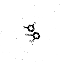 Clc1cccc(Cl)c1.O=Cc1ccccc1[N+](=O)[O-]